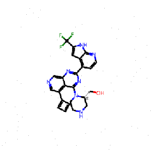 OC[C@@H]1CNCCN1c1nc(-c2ccnc3[nH]c(C(F)(F)F)cc23)nc2cncc(C3=CC=C3)c12